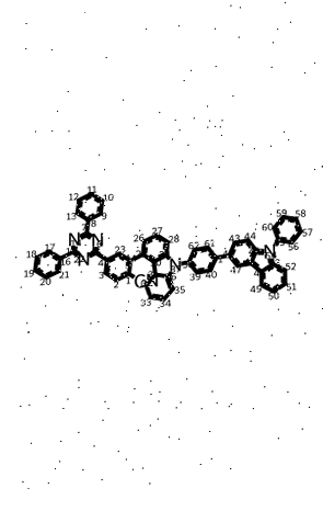 N#Cc1ccc(-c2nc(-c3ccccc3)nc(-c3ccccc3)n2)cc1-c1cccc2c1C1CC=CC=C1N2c1ccc(-c2ccc3c(c2)c2ccccc2n3-c2ccccc2)cc1